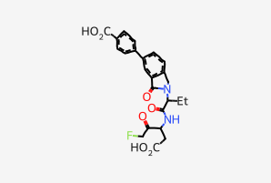 CCC(C(=O)NC(CC(=O)O)C(=O)CF)N1Cc2ccc(-c3ccc(C(=O)O)cc3)cc2C1=O